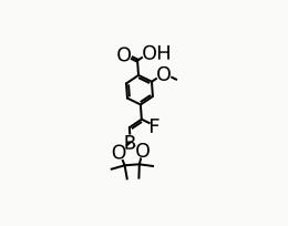 COc1cc(C(F)=CB2OC(C)(C)C(C)(C)O2)ccc1C(=O)O